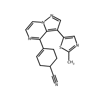 Cc1ncc(-c2cnn3ccnc(C4=CCC(C#N)CC4)c23)s1